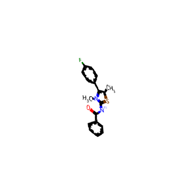 Cc1s/c(=N/C(=O)c2ccccc2)n(C)c1-c1ccc(F)cc1